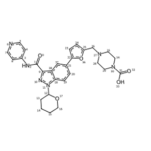 O=C(Nc1ccncc1)c1nn(C2CCCCO2)c2ccc(-c3ccc(CN4CCN(C(=O)O)CC4)o3)cc12